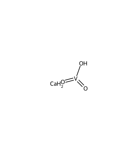 [CaH2].[O]=[V](=[O])[OH]